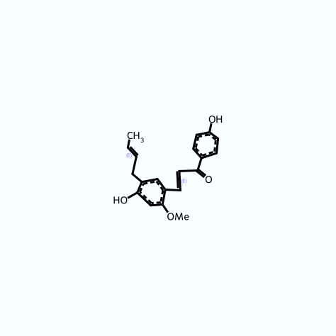 C/C=C/Cc1cc(/C=C/C(=O)c2ccc(O)cc2)c(OC)cc1O